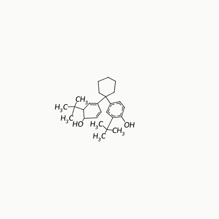 CC(C)(C)c1cc(C2(C3=CC(C(C)(C)C)C(O)C=C3)CCCCC2)ccc1O